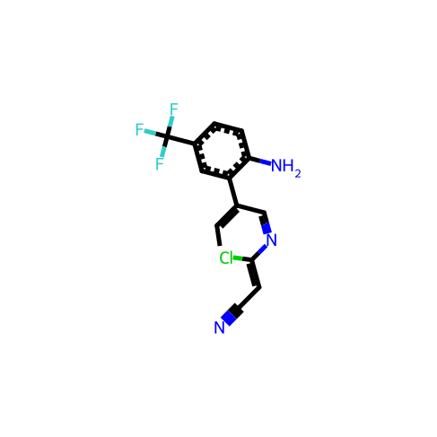 C\C=C(/C=N\C(Cl)=C\C#N)c1cc(C(F)(F)F)ccc1N